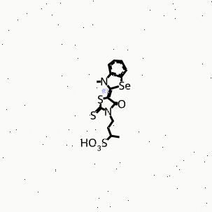 CC(CCN1C(=O)/C(=C2\[Se]c3ccccc3N2C)SC1=S)S(=O)(=O)O